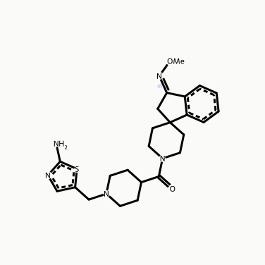 CO/N=C1/CC2(CCN(C(=O)C3CCN(Cc4cnc(N)s4)CC3)CC2)c2ccccc21